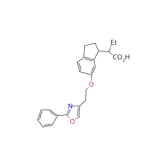 CCC(C(=O)O)C1CCc2ccc(OCCc3coc(-c4ccccc4)n3)cc21